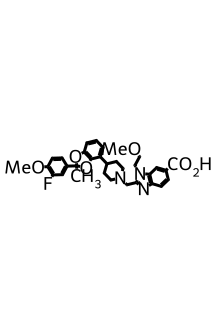 COCCn1c(CN2CCC(c3cccc4c3OC(C)(c3ccc(OC)c(F)c3)O4)CC2)nc2ccc(C(=O)O)cc21